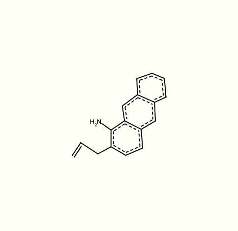 C=CCc1ccc2cc3ccccc3cc2c1N